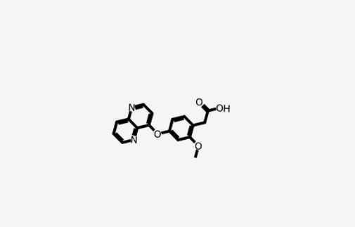 COc1cc(Oc2ccnc3cccnc23)ccc1CC(=O)O